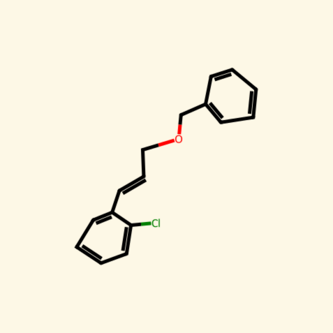 Clc1ccccc1/C=C/COCc1ccccc1